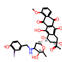 COc1cccc2c1C(=O)c1c(O)c3c(c(O)c1C2=O)C[C@@](O)(C(C)=O)C[C@@H]3O[C@H]1CC(NCc2ccc(O)c(I)c2)[C@H](O)C(C)O1